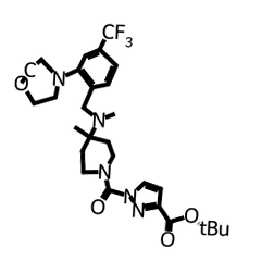 CN(Cc1ccc(C(F)(F)F)cc1N1CCOCC1)C1(C)CCN(C(=O)n2ccc(C(=O)OC(C)(C)C)n2)CC1